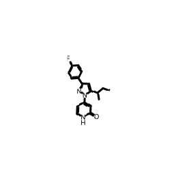 CCC(C)c1cc(-c2ccc(F)cc2)nn1-c1cc[nH]c(=O)c1